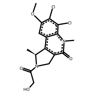 COc1cc2c3c(c(=O)n(C)c2c(Cl)c1Cl)CN(C(=O)CO)[C@H]3C